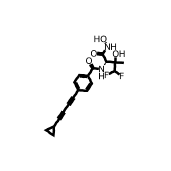 CC(O)(C(F)F)[C@H](NC(=O)c1ccc(C#CC#CC2CC2)cc1)C(=O)NO